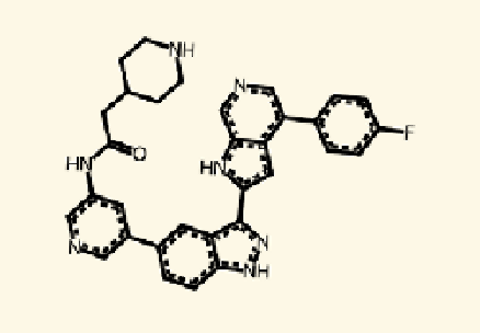 O=C(CC1CCNCC1)Nc1cncc(-c2ccc3[nH]nc(-c4cc5c(-c6ccc(F)cc6)cncc5[nH]4)c3c2)c1